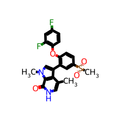 Cc1c[nH]c(=O)c2c1c(-c1cc(S(C)(=O)=O)ccc1Oc1ccc(F)cc1F)cn2C